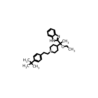 CCOC(C)(c1nc2ccccc2[nH]1)C1CCN(CCc2ccc(C(C)(C)C)cc2)CC1